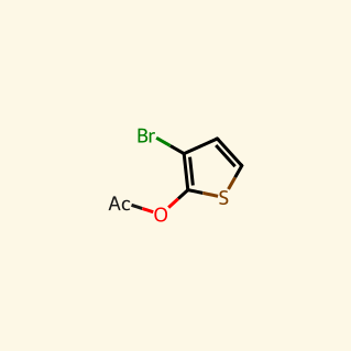 CC(=O)Oc1sccc1Br